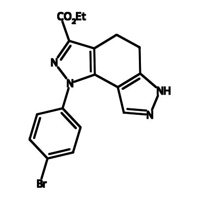 CCOC(=O)c1nn(-c2ccc(Br)cc2)c2c1CCc1[nH]ncc1-2